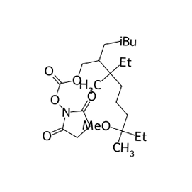 CCC(C)CC(COC(=O)ON1C(=O)CCC1=O)C(C)(CC)CCCC(C)(CC)OC